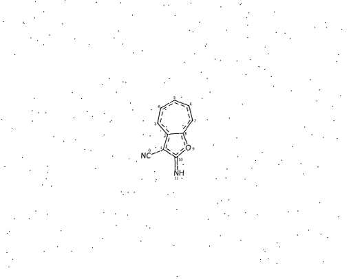 N#Cc1c2cccccc-2oc1=N